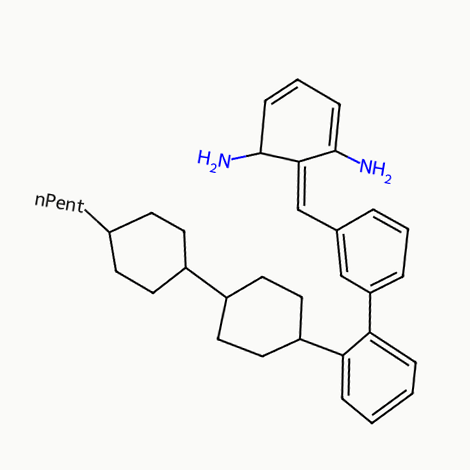 CCCCCC1CCC(C2CCC(c3ccccc3-c3cccc(C=C4C(N)=CC=CC4N)c3)CC2)CC1